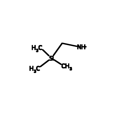 C[Si](C)(C)C[NH]